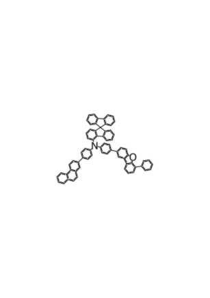 c1ccc(-c2cccc3c2oc2ccc(-c4ccc(N(c5ccc(-c6ccc7c(ccc8ccccc87)c6)cc5)c5cccc6c5-c5ccccc5C65c6ccccc6-c6ccccc65)cc4)cc23)cc1